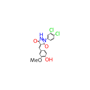 COc1cc(/C=C2/C(=O)NN(c3ccc(Cl)c(Cl)c3)C2=O)ccc1O